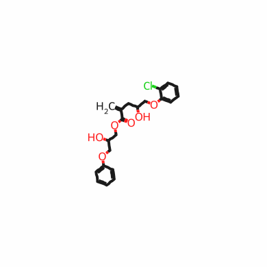 C=C(CC(O)COc1ccccc1Cl)C(=O)OCC(O)COc1ccccc1